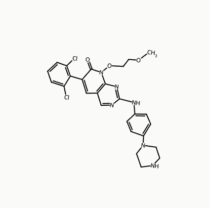 COCCOn1c(=O)c(-c2c(Cl)cccc2Cl)cc2cnc(Nc3ccc(N4CCNCC4)cc3)nc21